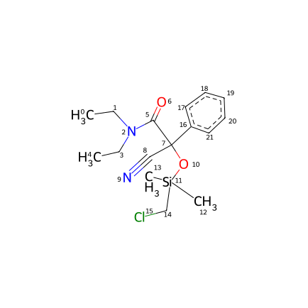 CCN(CC)C(=O)C(C#N)(O[Si](C)(C)CCl)c1ccccc1